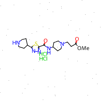 COC(=O)CCN1CCC(NC(=O)c2nnc(C3CCNCC3)s2)CC1.Cl.Cl